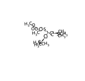 CCOC(=O)COc1ccc(SCC=C(c2ccc(C#C[Si](C)(C)C)cc2)c2ccc(C#C[Si](C)(C)C)cc2)cc1C